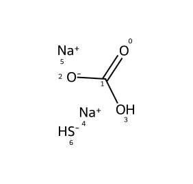 O=C([O-])O.[Na+].[Na+].[SH-]